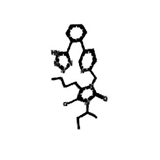 CCCCc1c(Cl)n(C(C)CC)c(=O)n1Cc1ccc(-c2ccccc2-c2nnn[nH]2)cn1